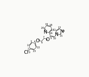 Clc1ccc(OCCOC(=Cn2ccnc2)c2ccccn2)cc1